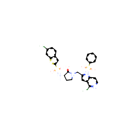 O=C1[C@@H](NS(=O)(=O)c2cc3ccc(Cl)cc3s2)CCN1Cc1cc2c(Cl)nccc2n1S(=O)(=O)c1ccccc1